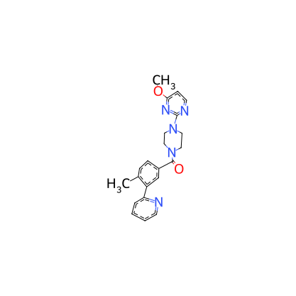 COc1ccnc(N2CCN(C(=O)c3ccc(C)c(-c4ccccn4)c3)CC2)n1